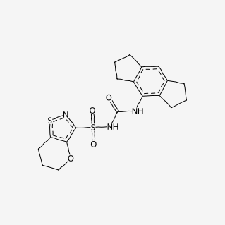 O=C(Nc1c2c(cc3c1CCC3)CCC2)NS(=O)(=O)c1nsc2c1OCCC2